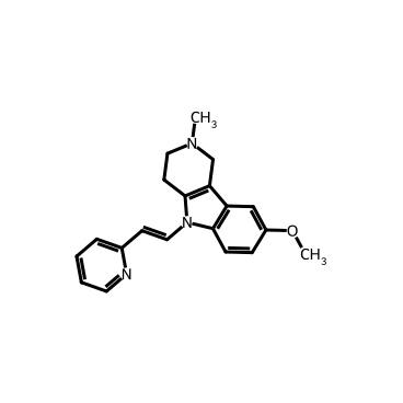 COc1ccc2c(c1)c1c(n2C=Cc2ccccn2)CCN(C)C1